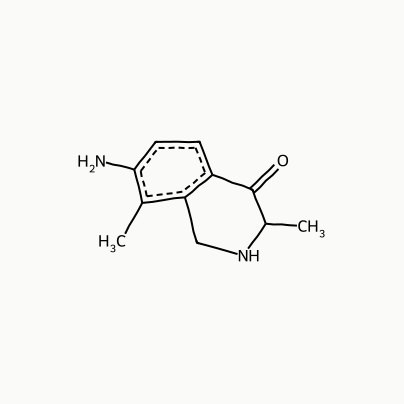 Cc1c(N)ccc2c1CNC(C)C2=O